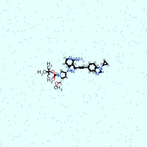 COC[C@H]1C[C@H](n2nc(C#Cc3ccc4c(c3)ncn4C3CC3)c3c(N)nccc32)CN1C(=O)OC(C)(C)C